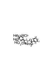 Cl.N[C@H](C(=O)O)C(CCOC(=O)c1ccccc1)c1ccc(O)c(O)c1